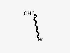 O=[C]OCCCCCCCBr